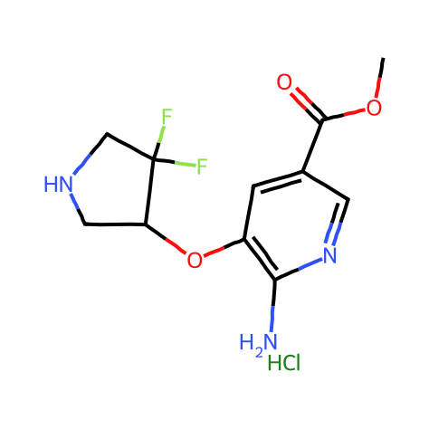 COC(=O)c1cnc(N)c(OC2CNCC2(F)F)c1.Cl